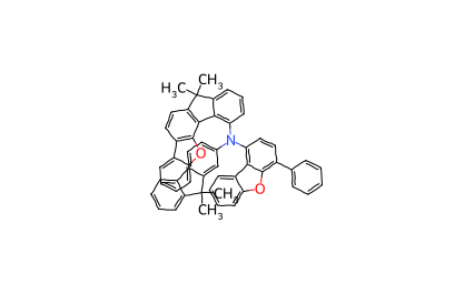 CC1(C)c2ccccc2-c2ccc(N(c3cccc4c3-c3c(ccc5c3oc3ccccc35)C4(C)C)c3ccc(-c4ccccc4)c4oc5ccccc5c34)cc21